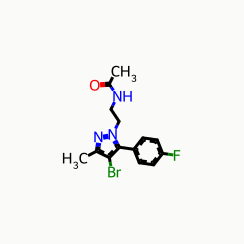 CC(=O)NCCn1nc(C)c(Br)c1-c1ccc(F)cc1